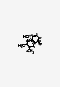 CC(N)C(C)Cc1ccccc1F.Cl